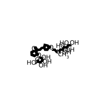 CN(CCCOc1ccc(CCc2coc3cccc(O[C@@H]4O[C@H](CO)[C@@H](O)[C@H](O)[C@H]4O)c23)cc1)C[C@H](O)[C@@H](O)[C@H](O)[C@H](O)CO